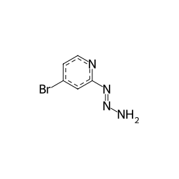 NN=Nc1cc(Br)ccn1